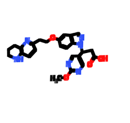 COc1ncc(C(CC(=O)O)n2ncc3cc(OCCc4ccc5c(n4)CCCN5)ccc32)cn1